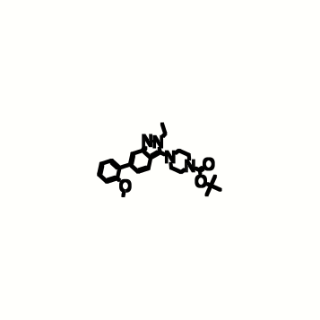 CCn1nc2cc(-c3ccccc3OC)ccc2c1N1CCN(C(=O)OC(C)(C)C)CC1